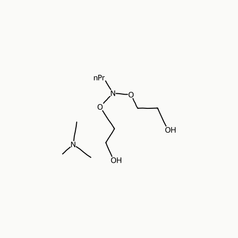 CCCN(OCCO)OCCO.CN(C)C